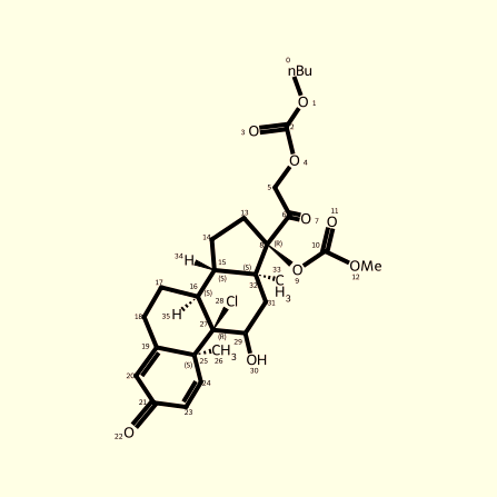 CCCCOC(=O)OCC(=O)[C@@]1(OC(=O)OC)CC[C@H]2[C@@H]3CCC4=CC(=O)C=C[C@]4(C)[C@@]3(Cl)C(O)C[C@@]21C